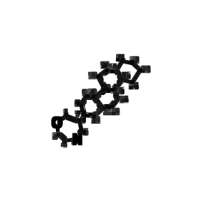 C1=COC=CN=C1.c1ccc2c(c1)ccc1c3c(ccc12)CCCC3